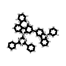 c1ccc(-c2nc(-c3ccccc3)nc(-n3c4cc(-c5ccc6c(c5)c5ccccc5n6-c5ccccc5)cc5oc6ccccc6c6cccc3c6c54)n2)cc1